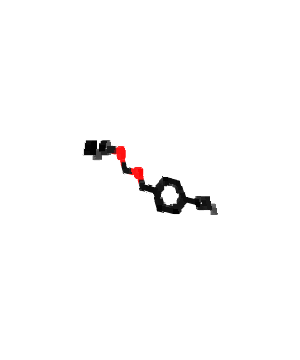 COCOCc1ccc(C)cc1